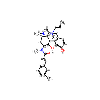 C=CCN1CC[C@]23c4c5ccc(O)c4OC2C(N(C)C(=O)/C=C/c2cccc(C)c2)CC[C@@]3(N(C)C)[C@H]1C5